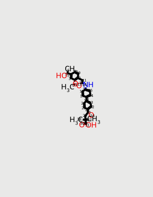 COc1cc(C(C)O)ccc1CC(=O)Nc1ccc(-c2ccc(C(=O)CC(C)(C)C(=O)O)cc2)cc1